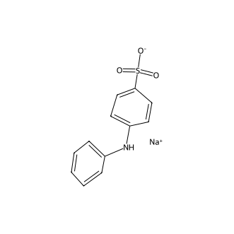 O=S(=O)([O-])c1ccc(Nc2ccccc2)cc1.[Na+]